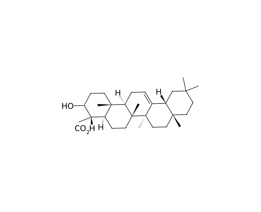 CC1(C)CC[C@]2(C)CC[C@]3(C)C(=CC[C@@H]4[C@@]5(C)CCC(O)[C@](C)(C(=O)O)[C@@H]5CC[C@]43C)[C@@H]2C1